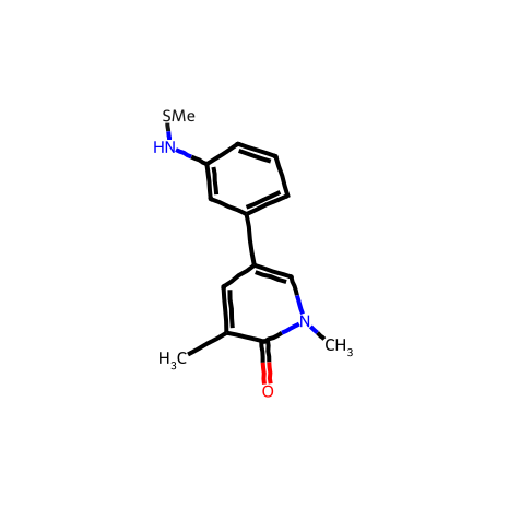 CSNc1cccc(-c2cc(C)c(=O)n(C)c2)c1